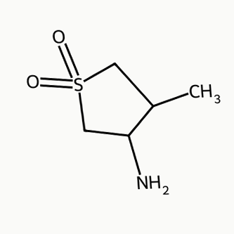 CC1CS(=O)(=O)CC1N